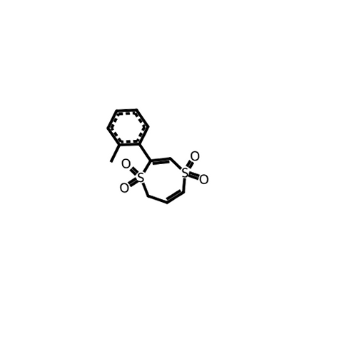 Cc1ccccc1C1=CS(=O)(=O)C=CCS1(=O)=O